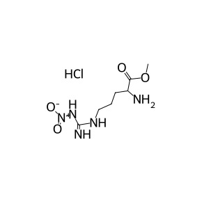 COC(=O)C(N)CCCNC(=N)N[N+](=O)[O-].Cl